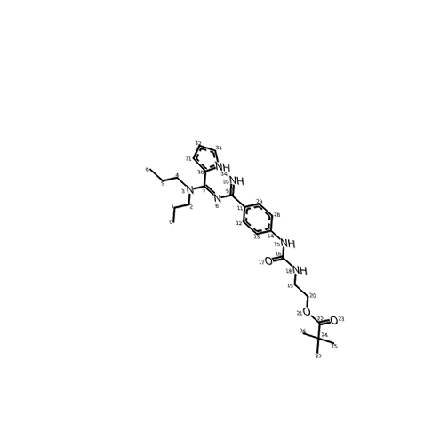 CCCN(CCC)/C(=N/C(=N)c1ccc(NC(=O)NCCOC(=O)C(C)(C)C)cc1)c1ccc[nH]1